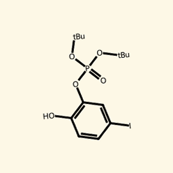 CC(C)(C)OP(=O)(Oc1cc(I)ccc1O)OC(C)(C)C